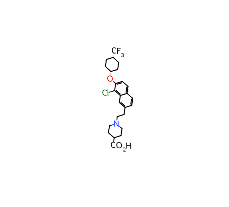 O=C(O)C1CCN(CCc2ccc3ccc(O[C@H]4CC[C@@H](C(F)(F)F)CC4)c(Cl)c3c2)CC1